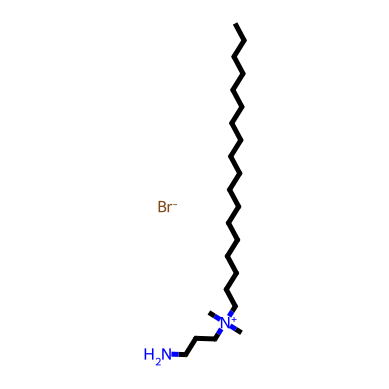 CCCCCCCCCCCCCCCCCC[N+](C)(C)CCCN.[Br-]